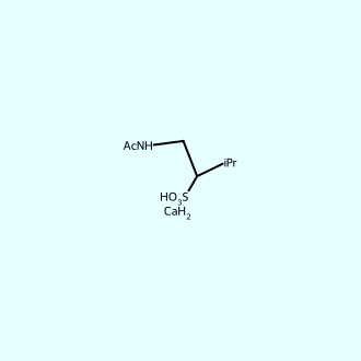 CC(=O)NCC(C(C)C)S(=O)(=O)O.[CaH2]